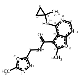 Cc1nnc(CNC(=O)c2c(C)oc3ncnc(NC4(C)CC4)c23)o1